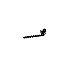 CCCCCCCCCCCCCCCCCCC1C=Cc2sc3ccccc3c(=O)c2C1